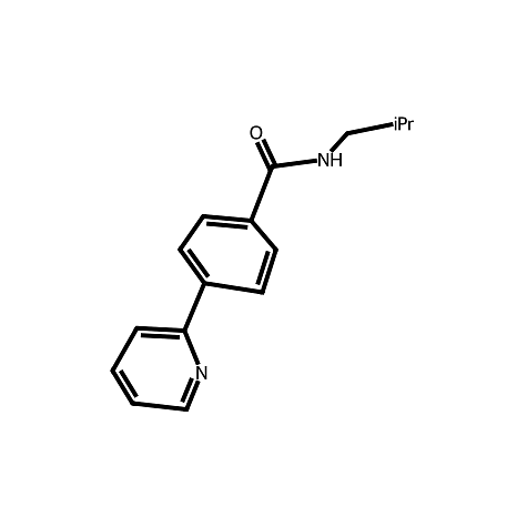 CC(C)CNC(=O)c1ccc(-c2ccccn2)cc1